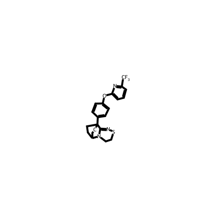 FC(F)(F)c1cccc(Oc2ccc(C34CCC(CC3)N3CCSN=C34)cc2)n1